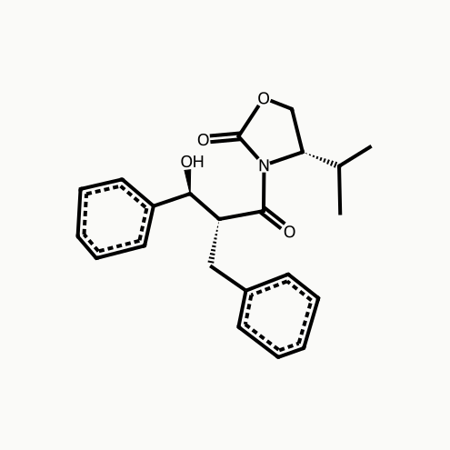 CC(C)[C@H]1COC(=O)N1C(=O)[C@H](Cc1ccccc1)[C@H](O)c1ccccc1